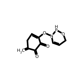 C=C1CC=C(ON2C=CCOP2)C(=O)C1=O